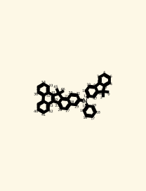 CC1(C)c2ccccc2-c2ccc(N(c3ccccc3)c3ccc4c5c(ccc4c3)-c3c(c4ccccc4c4ccccc34)C5(C)C)cc21